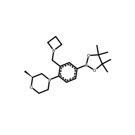 C[C@H]1CN(c2ccc(B3OC(C)(C)C(C)(C)O3)cc2CN2CCC2)CCO1